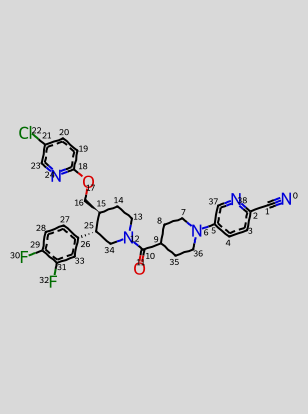 N#Cc1ccc(N2CCC(C(=O)N3CC[C@H](COc4ccc(Cl)cn4)[C@@H](c4ccc(F)c(F)c4)C3)CC2)cn1